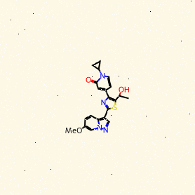 COc1ccc2c(-c3nc(-c4ccn(C5CC5)c(=O)c4)c(C(C)O)s3)cnn2c1